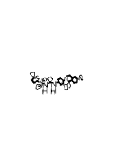 CN(C)c1ccc2c(=O)n(-c3ccc(NC(=O)NS(=O)(=O)c4ccc(Cl)s4)cc3Cl)ccc2c1